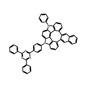 c1ccc(-c2nc(-c3ccccc3)nc(-c3ccc(-n4c5cccc6c7cc8ccccc8cc7c7cccc8c7c7c(c65)c4ccc7n8-c4ccccc4)cc3)n2)cc1